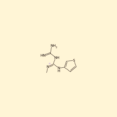 C/N=C(/NC(=N)N)Nc1ccsc1